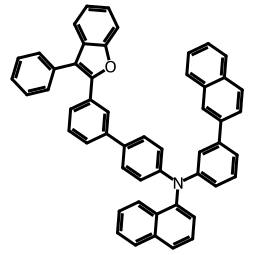 c1ccc(-c2c(-c3cccc(-c4ccc(N(c5cccc(-c6ccc7ccccc7c6)c5)c5cccc6ccccc56)cc4)c3)oc3ccccc23)cc1